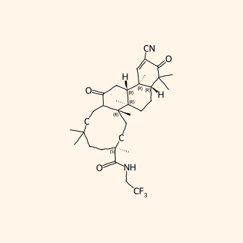 CC1(C)CCC2C(=O)C[C@@H]3[C@@]4(C)C=C(C#N)C(=O)C(C)(C)[C@@H]4CC[C@@]3(C)[C@]2(C)CC[C@@](C)(C(=O)NCC(F)(F)F)CC1